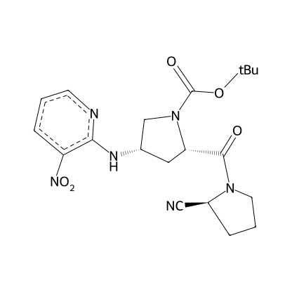 CC(C)(C)OC(=O)N1C[C@@H](Nc2ncccc2[N+](=O)[O-])C[C@H]1C(=O)N1CCC[C@H]1C#N